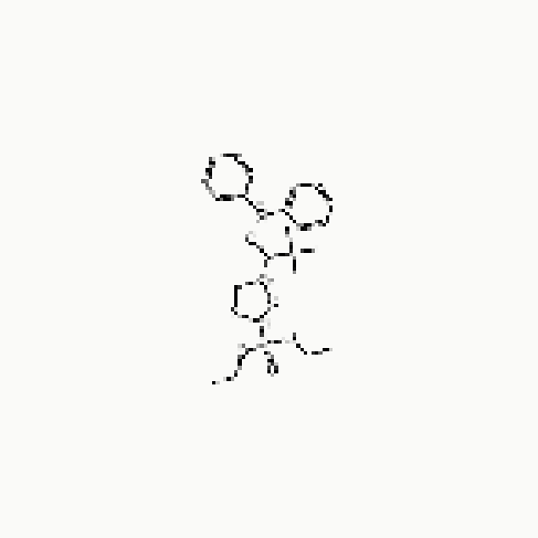 CCOP(=O)(OCC)[C@@H]1O[C@@H](C(O[SiH](c2ccccc2)c2ccccc2)C(C)(C)C)CS1